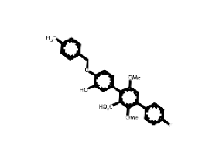 COc1cc(-c2ccc(F)cc2)c(OC)c(C(=O)O)c1-c1ccc(OCc2ccc(C)cc2)c(O)c1